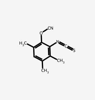 Cc1cc(C)c(OC#N)c(N=C=S)c1C